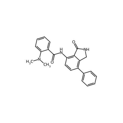 CN(C)c1ccccc1C(=O)Nc1ccc(-c2ccccc2)c2c1C(=O)NC2